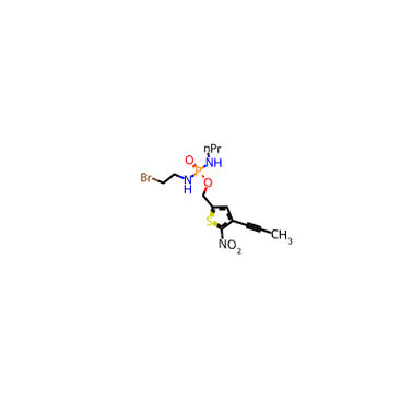 CC#Cc1cc(COP(=O)(NCCC)NCCBr)sc1[N+](=O)[O-]